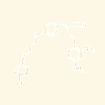 N#Cc1ccc(OCCCOc2ccc(C=C(CCc3ccc(N)cc3N)C(=O)O)cc2)cc1